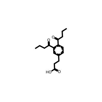 CCCC(=O)c1ccc(CCC(=O)O)cc1C(=O)CCC